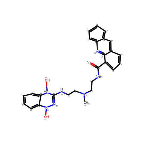 CN(CCNC(=O)c1cccc2cc3ccccc3nc12)CCNC1=NN(O)c2ccccc2N1O